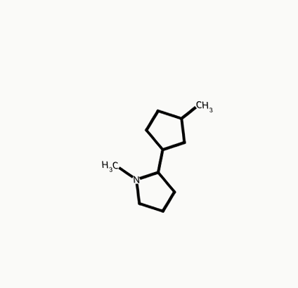 CC1CCC(C2CCCN2C)C1